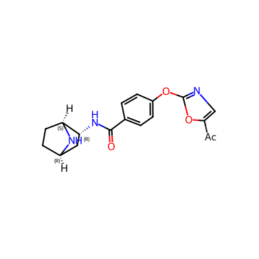 CC(=O)c1cnc(Oc2ccc(C(=O)N[C@@H]3C[C@H]4CC[C@@H]3N4)cc2)o1